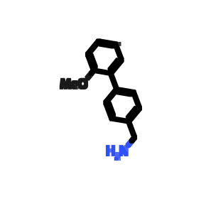 COc1cc[c]cc1-c1ccc(CN)cc1